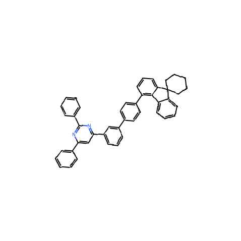 c1ccc(-c2cc(-c3cccc(-c4ccc(-c5cccc6c5-c5ccccc5C65CCCCC5)cc4)c3)nc(-c3ccccc3)n2)cc1